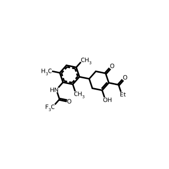 CCC(=O)C1=C(O)CC(c2c(C)cc(C)c(NC(=O)C(F)(F)F)c2C)CC1=O